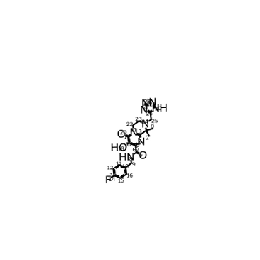 CC1(C)c2nc(C(=O)NCc3ccc(F)cc3)c(O)c(=O)n2CCN1Cc1nnn[nH]1